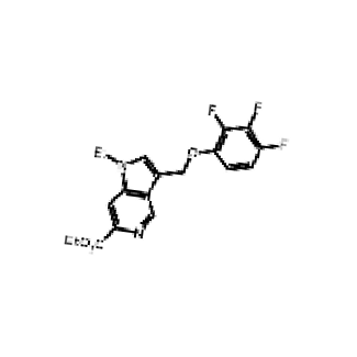 CCOC(=O)c1cc2c(cn1)c(COc1ccc(F)c(F)c1F)cn2CC